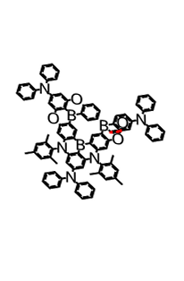 Cc1cc(C)c(N2c3cc4c(cc3B3c5cc6c(cc5N(c5c(C)cc(C)cc5C)c5cc(N(c7ccccc7)c7ccccc7)cc2c53)Oc2cc(N(c3ccccc3)c3ccccc3)cc3c2B6c2ccccc2O3)B2c3ccccc3Oc3cc(N(c5ccccc5)c5ccccc5)cc(c32)O4)c(C)c1